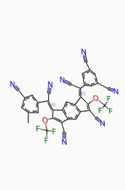 Cc1cc(C#N)cc(/C(C#N)=C2\C(OC(F)(F)F)=C(C#N)c3cc4c(cc32)/C(=C(\C#N)c2cc(C#N)cc(C#N)c2)C(OC(F)(F)F)=C4C#N)c1